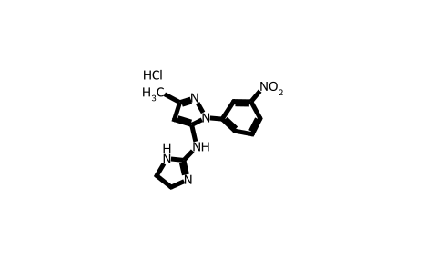 Cc1cc(NC2=NCCN2)n(-c2cccc([N+](=O)[O-])c2)n1.Cl